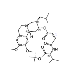 COc1cc2c(cc1OC)[C@H]1C[C@@H](OC(=O)/C=C\C(=O)N[C@H](C(=O)OC(C)(C)C)C(C)C)[C@H](CC(C)C)CN1CC2